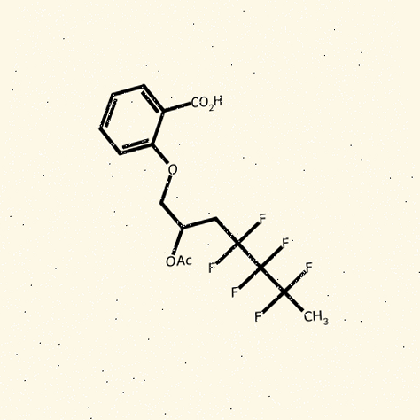 CC(=O)OC(COc1ccccc1C(=O)O)CC(F)(F)C(F)(F)C(C)(F)F